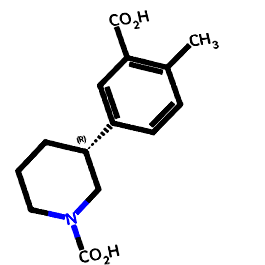 Cc1ccc([C@H]2CCCN(C(=O)O)C2)cc1C(=O)O